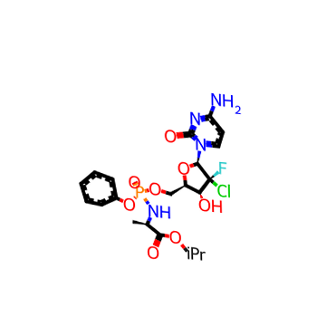 CC(C)OC(=O)[C@@H](C)NP(=O)(OC[C@H]1O[C@@H](n2ccc(N)nc2=O)[C@](F)(Cl)[C@@H]1O)Oc1ccccc1